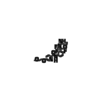 COCCOc1ccc(C(=O)Nc2ccc(F)c([C@]3(C(F)F)COCC(N)=N3)c2)nc1